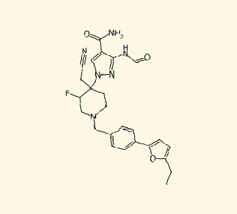 CCc1ccc(-c2ccc(CN3CCC(CC#N)(n4cc(C(N)=O)c(NC=O)n4)C(F)C3)cc2)o1